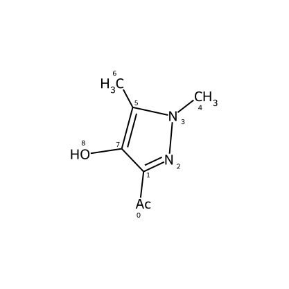 CC(=O)c1nn(C)c(C)c1O